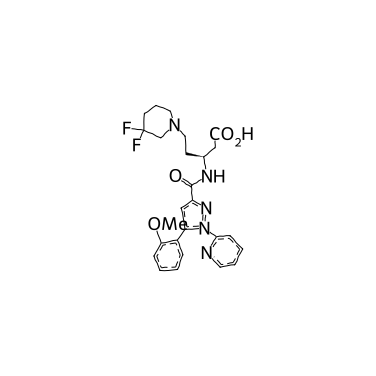 COc1ccccc1-c1cc(C(=O)N[C@@H](CCN2CCCC(F)(F)C2)CC(=O)O)nn1-c1ccccn1